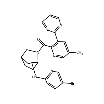 Cc1cnc(C(=O)N2CC3CCC2C(Nc2ccc(Br)cn2)C3)c(-c2ncccn2)c1